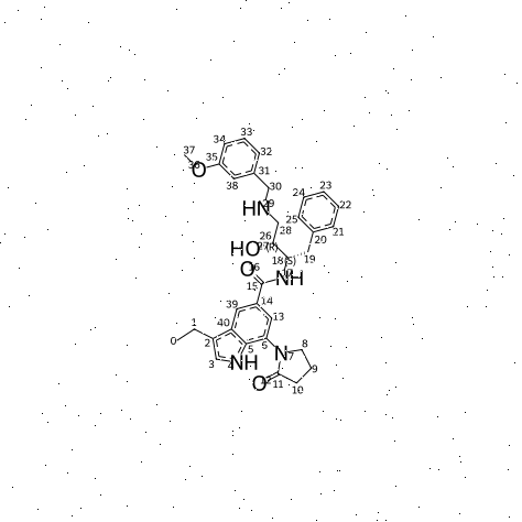 CCc1c[nH]c2c(N3CCCC3=O)cc(C(=O)N[C@@H](Cc3ccccc3)[C@H](O)CNCc3cccc(OC)c3)cc12